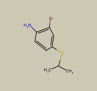 CC(C)Sc1ccc(N)c(Br)c1